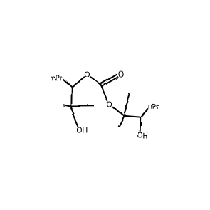 CCCC(OC(=O)OC(C)(C)C(O)CCC)C(C)(C)O